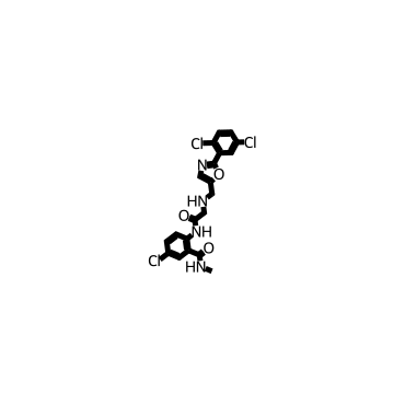 CNC(=O)c1cc(Cl)ccc1NC(=O)CNCc1cnc(-c2cc(Cl)ccc2Cl)o1